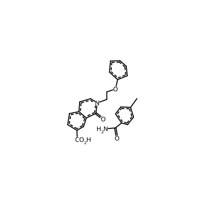 Cc1ccc(C(N)=O)cc1.O=C(O)c1ccc2ccn(CCOc3ccccc3)c(=O)c2c1